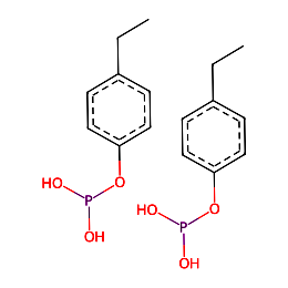 CCc1ccc(OP(O)O)cc1.CCc1ccc(OP(O)O)cc1